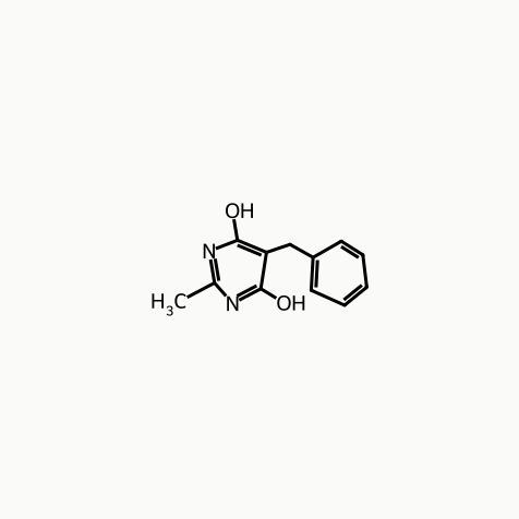 Cc1nc(O)c(Cc2ccccc2)c(O)n1